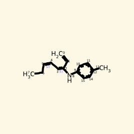 C=C/C(=C\C=C/CC)Nc1ccc(C)cc1